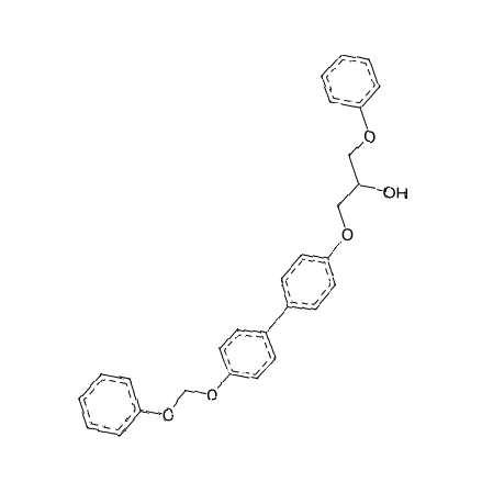 OC(COc1ccccc1)COc1ccc(-c2ccc(OCOc3ccccc3)cc2)cc1